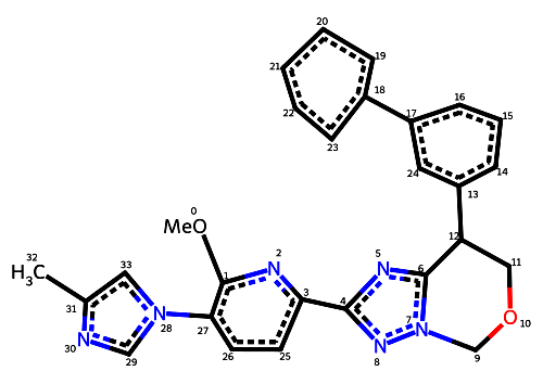 COc1nc(-c2nc3n(n2)COCC3c2cccc(-c3ccccc3)c2)ccc1-n1cnc(C)c1